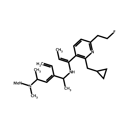 C=C/C(=C\C(C)N(C)NC)C(C)NC(=CC)c1ccc(CCF)nc1CC1CC1